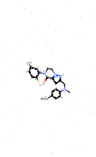 COc1ccc(N(C)Cc2cc3n(n2)CCN(c2cc(Cl)ccc2F)C3=O)cc1